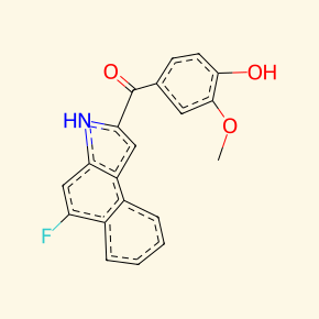 COc1cc(C(=O)c2cc3c(cc(F)c4ccccc43)[nH]2)ccc1O